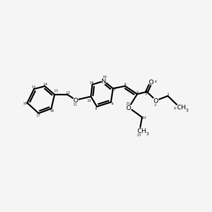 CCOC(=O)C(=Cc1ccc(OCc2ccccc2)cn1)OCC